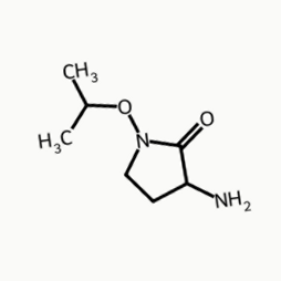 CC(C)ON1CCC(N)C1=O